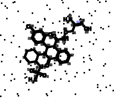 CS(=O)(=O)NC1CCCCC1N1C(=O)c2ccccc2C(C(=O)NOC/C(N)=N\O)C1c1ccc(Cl)cc1Cl